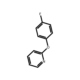 Fc1ccc(Oc2cc[c]cn2)cc1